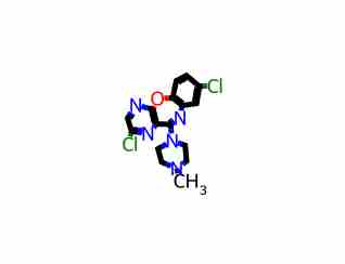 CN1CCN(C2=Nc3cc(Cl)ccc3Oc3ncc(Cl)nc32)CC1